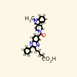 CN1CC2(CCN(C(=O)c3ccc4nc(-c5ccccc5)c(CCCCC(=O)O)nc4c3)CC2)c2ccccc21